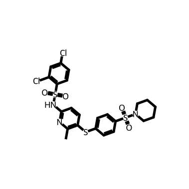 Cc1nc(NS(=O)(=O)c2ccc(Cl)cc2Cl)ccc1Sc1ccc(S(=O)(=O)N2CCCCC2)cc1